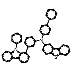 c1ccc(-c2ccc(N(c3cccc(-c4cccc5c6ccccc6n(-c6ccccc6)c45)c3)c3ccc4sc5ccccc5c4c3)cc2)cc1